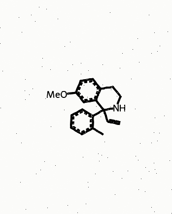 C=CC1(c2ccccc2C)NCCc2ccc(OC)cc21